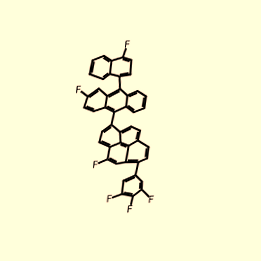 Fc1ccc2c(-c3ccc4c(F)cc5c(-c6cc(F)c(F)c(F)c6)ccc6ccc3c4c65)c3ccccc3c(-c3ccc(F)c4ccccc34)c2c1